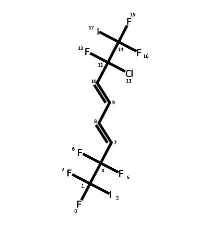 FC(F)(I)C(F)(F)C=CC=CC(F)(Cl)C(F)(F)I